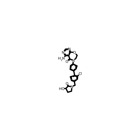 Nc1ncnc2c1C(=O)N(c1ccc(-c3ccc(CN4CCC(O)C4=O)cc3Cl)cc1)CCO2